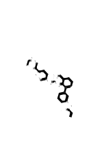 C=CC(=O)Nc1cccc(-c2c(Cl)ccc3cnc(Nc4ccc(C5CNCCO5)nc4)nc23)c1